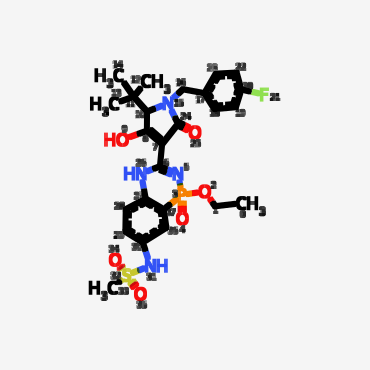 CCOP1(=O)N=C(C2=C(O)C(C(C)(C)C)N(Cc3ccc(F)cc3)C2=O)Nc2ccc(NS(C)(=O)=O)cc21